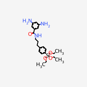 CCO[Si](OCC)(OCC)c1ccc(CCCNC(=O)c2cc(N)cc(N)c2)cc1